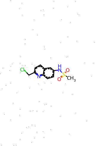 CS(=O)(=O)Nc1ccc2nc(CCl)ccc2c1